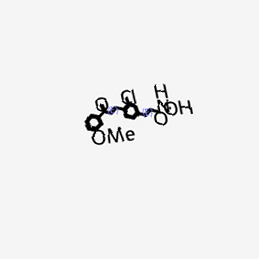 COc1cccc(C(=O)/C=C/c2ccc(/C=C/C(=O)NO)cc2Cl)c1